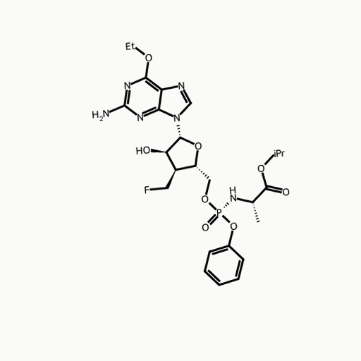 CCOc1nc(N)nc2c1ncn2[C@@H]1O[C@H](CO[P@@](=O)(N[C@@H](C)C(=O)OC(C)C)Oc2ccccc2)[C@@H](CF)[C@H]1O